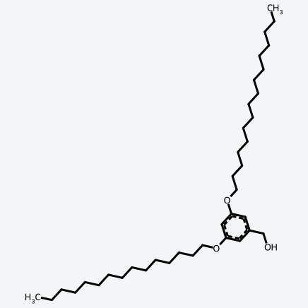 CCCCCCCCCCCCCCCCOc1cc(CO)cc(OCCCCCCCCCCCCCCC)c1